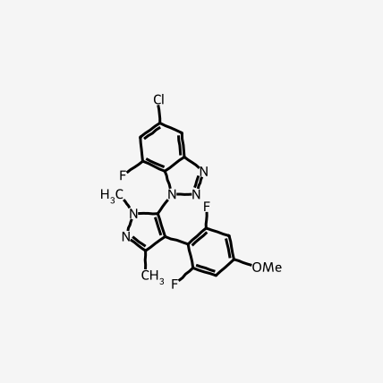 COc1cc(F)c(-c2c(C)nn(C)c2-n2nnc3cc(Cl)cc(F)c32)c(F)c1